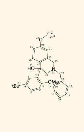 COc1ccc(C(C)(C)C)cc1C1(O)CN(Cc2ccccc2)Cc2cc(OC(F)(F)F)ccc21